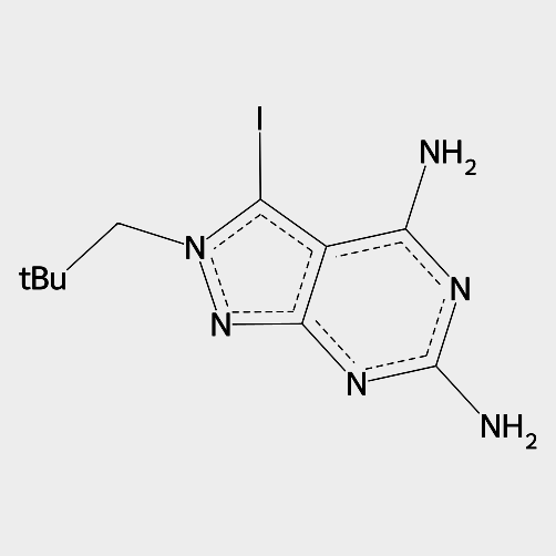 CC(C)(C)Cn1nc2nc(N)nc(N)c2c1I